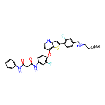 COCCNCc1ccc(-c2cc3nccc(Oc4ccc(NC(=O)CC(=O)Nc5ccccc5)cc4F)c3s2)c(F)c1